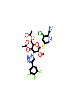 COC1C(n2cc(-c3cc(F)c(F)c(F)c3)nn2)[C@@H](OC(C)=O)C(COC(C)=O)O[C@@H]1Sc1cnc(C#N)c(Cl)c1